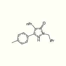 CCCc1c(-c2ccc(C)cc2)[nH]n(CC(C)C)c1=O